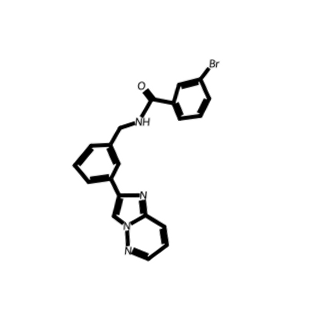 O=C(NCc1cccc(-c2cn3ncccc3n2)c1)c1cccc(Br)c1